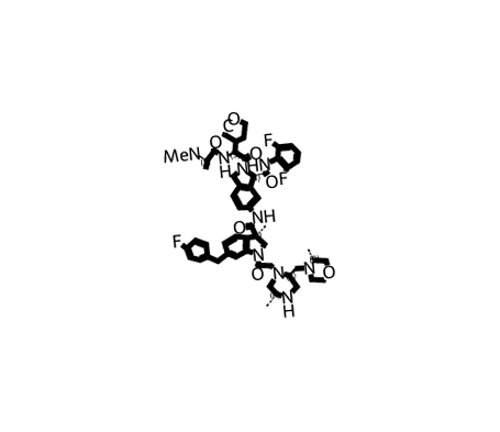 CN[C@@H](C)C(=O)N[C@H](C(=O)N1Cc2ccc(NC(=O)[C@@]3(C)CN(C(=O)CN4C[C@@H](C)NC[C@@H]4CN4CCOC[C@H]4C)c4cc(Cc5ccc(F)cc5)ccc43)cc2[C@H]1C(=O)Nc1c(F)cccc1F)C1CCOCC1